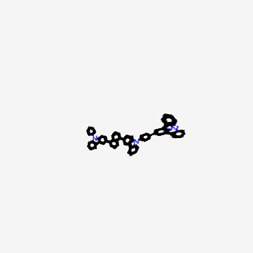 c1ccc(-n2c3ccccc3c3cc(-c4cccc5c(-c6ccc7c(c6)c6ccccc6n7-c6ccc(-c7cc8c9ccccc9n9c%10ccccc%10c(c7)c89)cc6)cccc45)ccc32)cc1